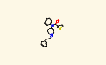 O=C(c1ccsc1)N(c1ccccc1)C1CCN(CCc2ccccc2)CC1